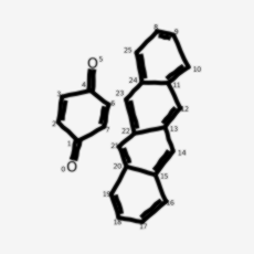 O=C1C=CC(=O)C=C1.c1ccc2cc3cc4ccccc4cc3cc2c1